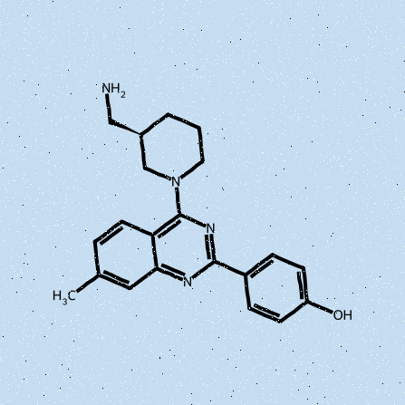 Cc1ccc2c(N3CCC[C@H](CN)C3)nc(-c3ccc(O)cc3)nc2c1